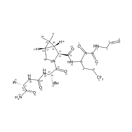 C=CCNC(=O)C(=O)C(CCC(F)(F)F)NC(=O)[C@@H]1[C@@H]2[C@H](CN1C(=O)[C@@H](NC(=O)N[C@H](C(N)=O)C(C)C)C(C)(C)C)C2(C)C